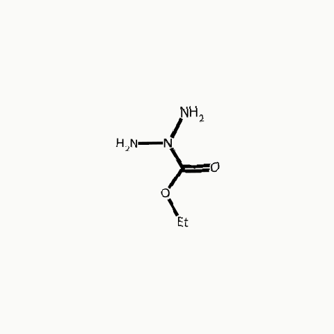 CCOC(=O)N(N)N